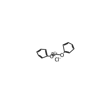 [Cl-].c1ccc([O][Bi+][O]c2ccccc2)cc1